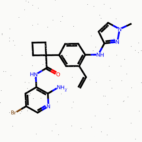 C=Cc1cc(C2(C(=O)Nc3cc(Br)cnc3N)CCC2)ccc1Nc1ccn(C)n1